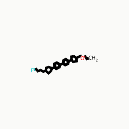 C=CCOCC1CCC(c2ccc(-c3ccc(C4CCC(CCCCF)CC4)cc3)cc2)CC1